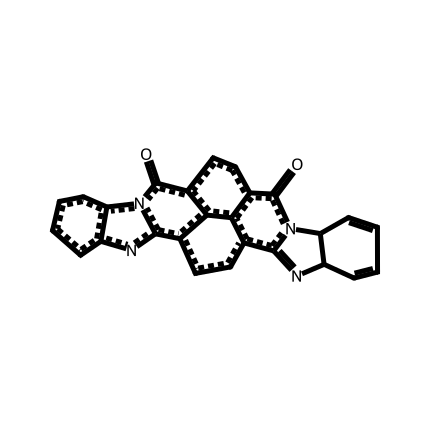 O=c1c2ccc3c(=O)n4c5ccccc5nc4c4ccc(c5n1C1C=CC=CC1N=5)c2c34